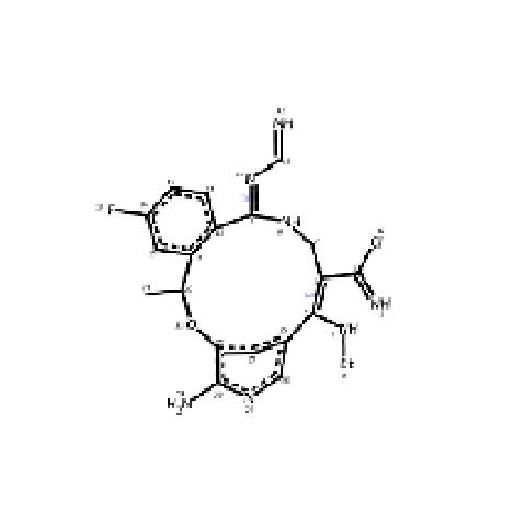 CCN/C1=C(\C(=N)Cl)CN/C(=N\C=N)c2ccc(F)cc2C(C)Oc2cc1cnc2N